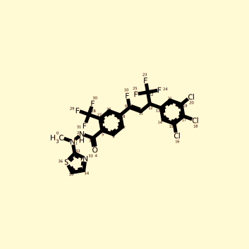 CN(NC(=O)c1ccc(C(F)=CC(c2cc(Cl)c(Cl)c(Cl)c2)C(F)(F)F)cc1C(F)(F)F)c1nccs1